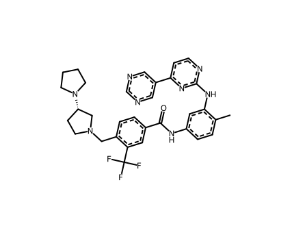 Cc1ccc(NC(=O)c2ccc(CN3CC[C@H](N4CCCC4)C3)c(C(F)(F)F)c2)cc1Nc1nccc(-c2cncnc2)n1